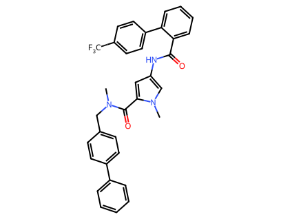 CN(Cc1ccc(-c2ccccc2)cc1)C(=O)c1cc(NC(=O)c2ccccc2-c2ccc(C(F)(F)F)cc2)cn1C